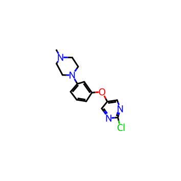 CN1CCN(c2cccc(Oc3cnc(Cl)nc3)c2)CC1